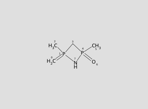 C=P1(C)CP(C)(=O)N1